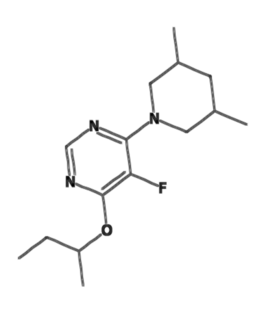 CCC(C)Oc1ncnc(N2CC(C)CC(C)C2)c1F